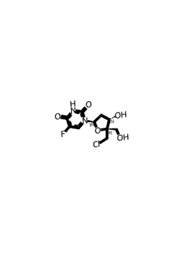 O=c1[nH]c(=O)n([C@H]2C[C@H](O)[C@](CO)(CCl)O2)cc1F